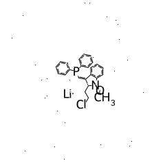 CON1c2ccccc2C(=CP(c2ccccc2)c2ccccc2)C1CCCl.[Li]